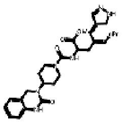 CCC/C=C(\C=C1\C=NNC1)CC(NC(=O)N1CCC(N2Cc3ccccc3NC2=O)CC1)C(=O)OC